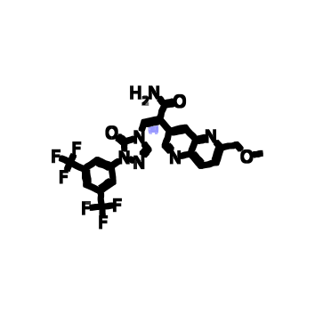 COCc1ccc2ncc(/C(=C\n3cnn(-c4cc(C(F)(F)F)cc(C(F)(F)F)c4)c3=O)C(N)=O)cc2n1